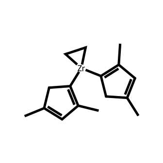 CC1=CC(C)=[C]([Zr]2([C]3=C(C)C=C(C)C3)[CH2][CH2]2)C1